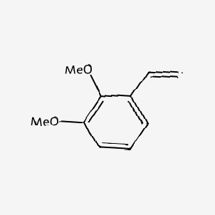 [CH]=Cc1cccc(OC)c1OC